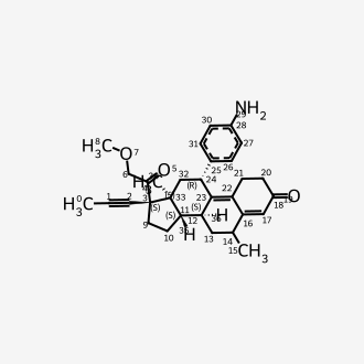 CC#C[C@]1(C(=O)COC)CC[C@H]2[C@@H]3CC(C)C4=CC(=O)CCC4=C3[C@@H](c3ccc(N)cc3)C[C@@]21C